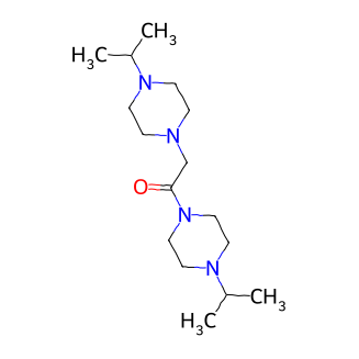 CC(C)N1CCN(CC(=O)N2CCN(C(C)C)CC2)CC1